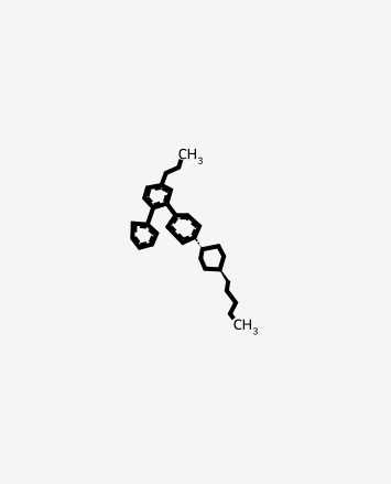 CCCCC[C@H]1CC[C@H](c2ccc(-c3cc(CCC)ccc3-c3ccccc3)cc2)CC1